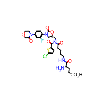 N[C@@H](CCC(=O)O)C(=O)NCCCCC(=O)N(C[C@H]1CN(c2ccc(N3CCOCC3=O)cc2F)C(=O)O1)C(=O)c1ccc(Cl)s1